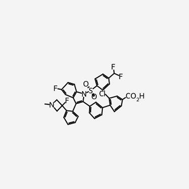 CN1CC(F)(c2ccccc2-c2c(-c3cccc(-c4ccc(C(=O)O)cc4Cl)c3)n(S(=O)(=O)c3ccc(C(F)F)cc3)c3ccc(F)cc23)C1